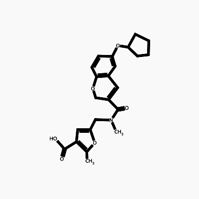 Cc1oc(CN(C)C(=O)C2=Cc3cc(OC4CCCC4)ccc3OC2)cc1C(=O)O